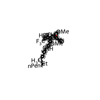 CCCCCC(CC)CCC(C)c1ccc(-c2ccc(C(=O)Nc3ccc(-c4cc5c6c(c7c(c5cc4OC)OC(c4ccc(OC)cc4)(c4ccc(N5CCOCC5)cc4)C=C7)C(C)(C)c4c-6cc(C(F)(F)F)cc4C(F)(F)F)cc3)cc2)cc1